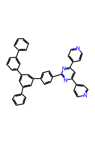 c1ccc(-c2cccc(-c3cc(-c4ccccc4)cc(-c4ccc(-c5nc(-c6ccncc6)cc(-c6ccncc6)n5)cc4)c3)c2)cc1